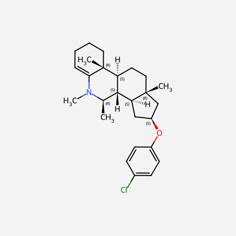 C[C@@H]1[C@H]2[C@@H]3C[C@H](Oc4ccc(Cl)cc4)C[C@@]3(C)CC[C@@H]2[C@@]2(C)CCCC=C2N1C